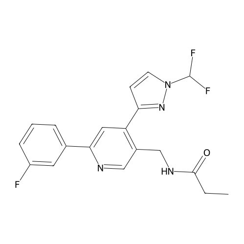 CCC(=O)NCc1cnc(-c2cccc(F)c2)cc1-c1ccn(C(F)F)n1